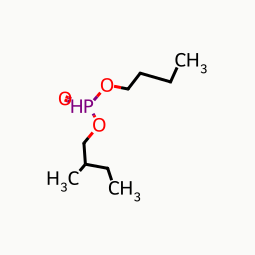 CCCCO[PH](=O)OCC(C)CC